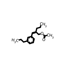 CCCC(=Cc1cccc(CCC)c1)COC(C)=O